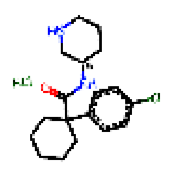 Cl.O=C(N[C@@H]1CCCNC1)C1(c2ccc(Cl)cc2)CCCCC1